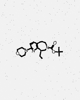 CCC1CN(C(=O)OC(C)(C)C)CCc2ccc(N3CCOCC3)nc21